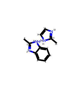 Cc1nc2ccccc2[nH]1.Cc1ncc[nH]1